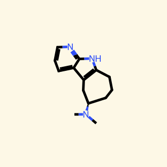 CN(C)[C@@H]1CCCc2[nH]c3ncccc3c2C1